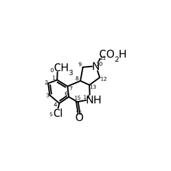 Cc1ccc(Cl)c2c1C1CN(C(=O)O)CC1NC2=O